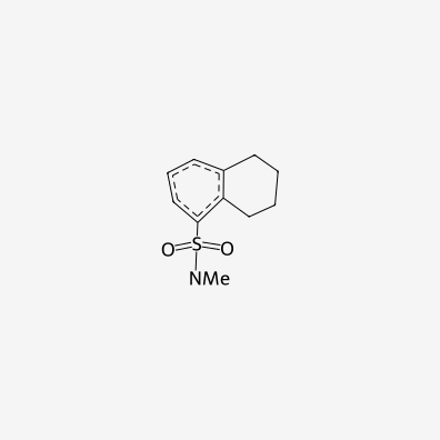 [CH2]NS(=O)(=O)c1cccc2c1CCCC2